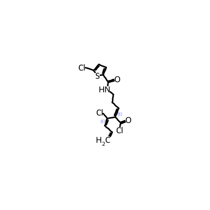 C=C/C=C(Cl)\C(=C/CCNC(=O)c1ccc(Cl)s1)C(=O)Cl